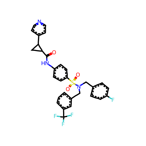 O=C(Nc1ccc(S(=O)(=O)N(Cc2ccc(F)cc2)Cc2cccc(C(F)(F)F)c2)cc1)C1CC1c1ccncc1